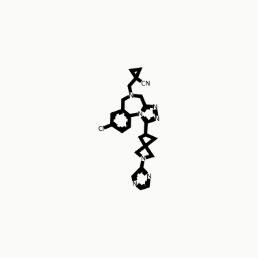 N#CC1(CN2Cc3cc(Cl)ccc3-n3c(nnc3C3CC4(C3)CN(c3cnccn3)C4)C2)CC1